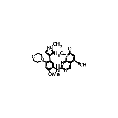 C#Cc1cc(=O)n(C)c2nc(Nc3cc(-c4cnn(C)c4)c(N4CCOCC4)cc3OC)ncc12